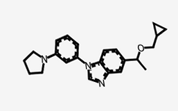 CC(OCC1CC1)c1ccc2c(c1)ncn2-c1cccc(N2CCCC2)c1